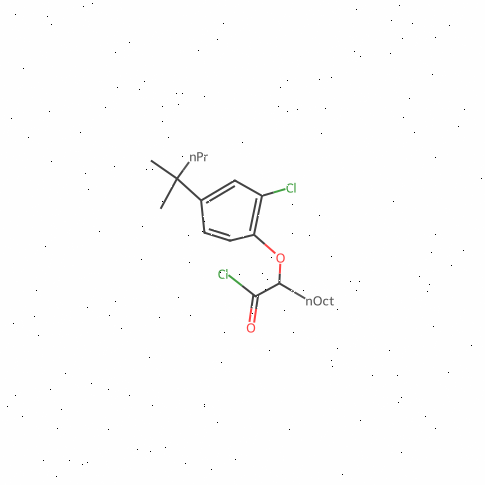 CCCCCCCCC(Oc1ccc(C(C)(C)CCC)cc1Cl)C(=O)Cl